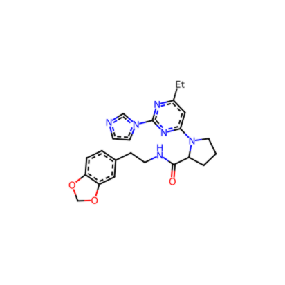 CCc1cc(N2CCCC2C(=O)NCCc2ccc3c(c2)OCO3)nc(-n2ccnc2)n1